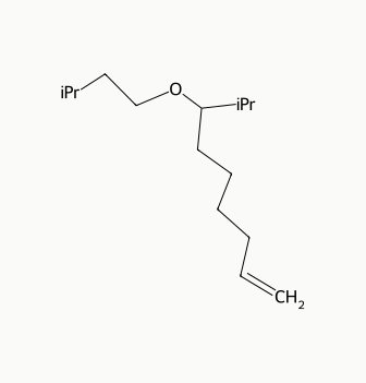 C=CCCCCC(OCCC(C)C)C(C)C